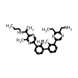 C=C(NCCC)c1ncc(-c2cccc(-c3cccc(-c4cnc(CN)c(CC)n4)c3C)c2C)nc1C